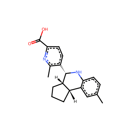 Cc1ccc2c(c1)[C@@H]1CCC[C@@H]1[C@H](c1ccc(C(=O)O)nc1C)N2